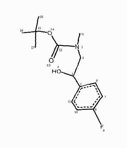 CN(CC(O)c1ccc(F)cc1)C(=O)OC(C)(C)C